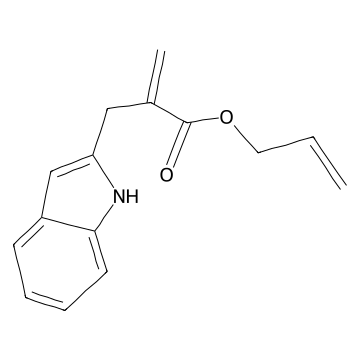 C=CCOC(=O)C(=C)Cc1cc2ccccc2[nH]1